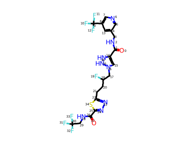 O=C(NCc1cncc(C(F)(F)F)c1)C1=CN(CC(F)CCc2nnc(C(=O)NCC(F)(F)F)s2)NN1